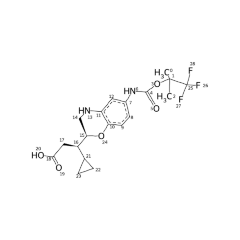 CC(C)(OC(=O)Nc1ccc2c(c1)NC[C@H]([C@H](CC(=O)O)C1CC1)O2)C(F)(F)F